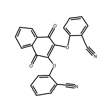 N#Cc1ccccc1OC1=C(Oc2ccccc2C#N)C(=O)c2ccccc2C1=O